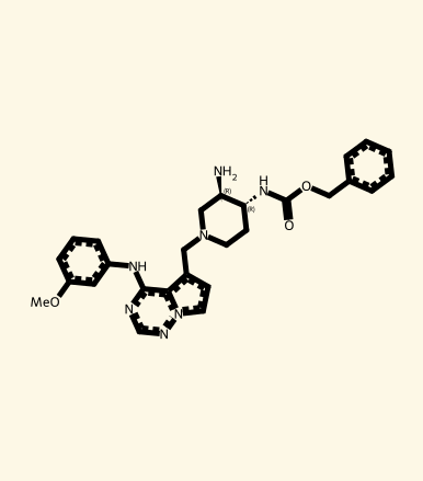 COc1cccc(Nc2ncnn3ccc(CN4CC[C@@H](NC(=O)OCc5ccccc5)[C@H](N)C4)c23)c1